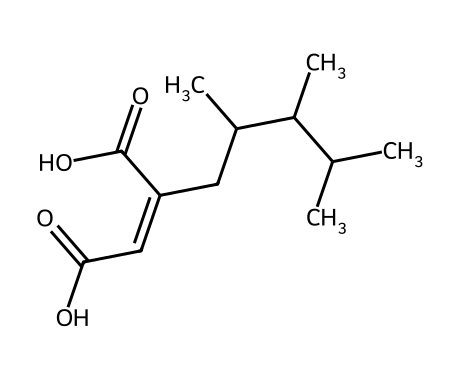 CC(C)C(C)C(C)CC(=CC(=O)O)C(=O)O